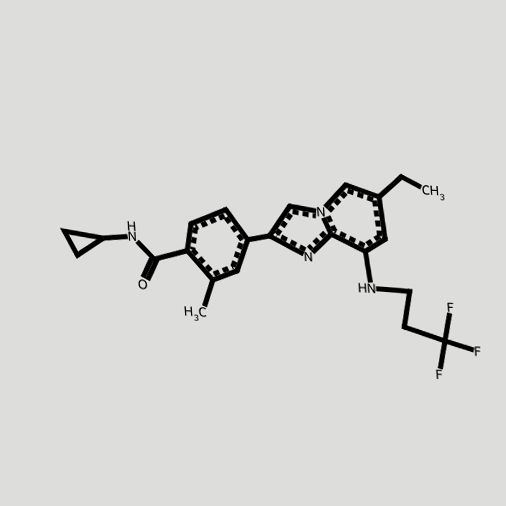 CCc1cc(NCCC(F)(F)F)c2nc(-c3ccc(C(=O)NC4CC4)c(C)c3)cn2c1